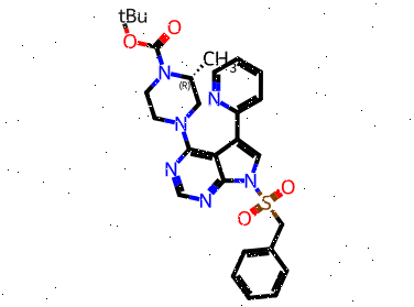 C[C@@H]1CN(c2ncnc3c2c(-c2ccccn2)cn3S(=O)(=O)Cc2ccccc2)CCN1C(=O)OC(C)(C)C